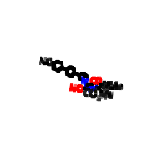 CNC(=O)[C@@H](NC(=O)C(C(O)C(=O)O)n1ccc(-c2ccc(-c3ccc(C#N)cc3)cc2)c1)C(C)(C)C